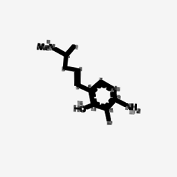 CNC(C)CC=Cc1cnc(N)c(C)c1O